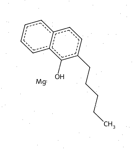 CCCCCc1ccc2ccccc2c1O.[Mg]